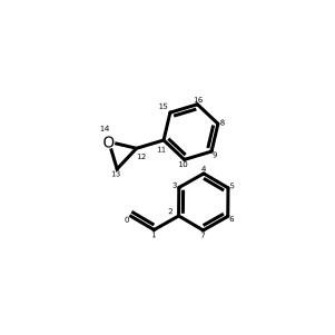 C=Cc1ccccc1.c1ccc(C2CO2)cc1